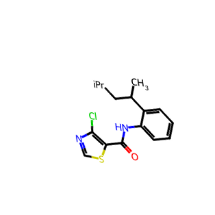 CC(C)CC(C)c1ccccc1NC(=O)c1scnc1Cl